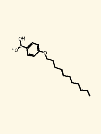 CCCCCCCCCCCOc1ccc(B(O)O)cc1